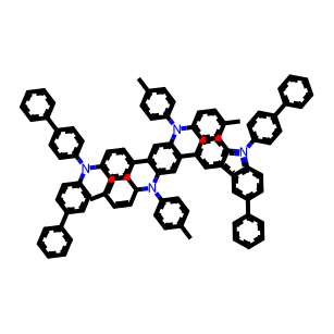 CC1=CCC(N(c2ccc(C)cc2)c2cc(-c3ccc4c(c3)c3cc(-c5ccccc5)ccc3n4-c3ccc(-c4ccccc4)cc3)c(N(c3ccc(C)cc3)c3ccc(C)cc3)cc2-c2ccc(N(c3ccc(-c4ccccc4)cc3)c3ccc(-c4ccccc4)cc3)cc2)C=C1